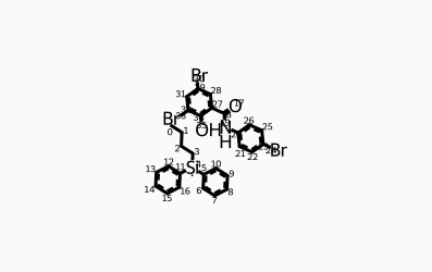 CCCC[Si](c1ccccc1)c1ccccc1.O=C(Nc1ccc(Br)cc1)c1cc(Br)cc(Br)c1O